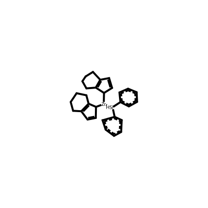 C1=C[CH]([Zr]([CH]2C=CC3=C2CCCC3)[SiH](c2ccccc2)c2ccccc2)C2=C1CCCC2